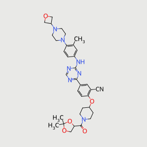 Cc1cc(Nc2ncnc(-c3ccc(OC4CCN(C(=O)C5COC(C)(C)O5)CC4)c(C#N)c3)n2)ccc1N1CCN(C2COC2)CC1